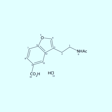 CC(=O)NCCc1coc2ccc(C(=O)O)cc12.Cl